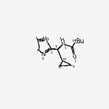 CC(C)(C)C(=O)NC(C1=NCC=N1)C1CC1